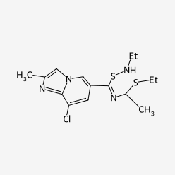 CCNS/C(=N\C(C)SCC)c1cc(Cl)c2nc(C)cn2c1